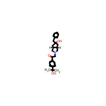 CC(C)(O)c1ccc(C(=O)CN2C[C@@H]3CC(O)(Cc4ccccc4)C[C@@H]3C2)cc1